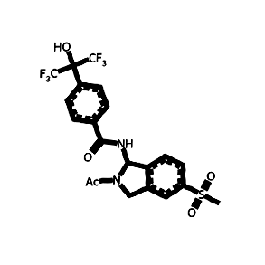 CC(=O)N1Cc2cc(S(C)(=O)=O)ccc2C1NC(=O)c1ccc(C(O)(C(F)(F)F)C(F)(F)F)cc1